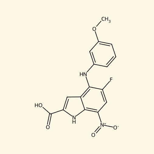 COc1cccc(Nc2c(F)cc([N+](=O)[O-])c3[nH]c(C(=O)O)cc23)c1